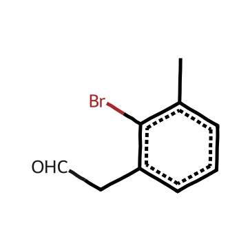 Cc1cccc(CC=O)c1Br